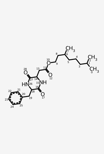 CC(C)CCCC(C)CCOC(=O)CC1NC(=O)C(Cc2ccccc2)NC1=O